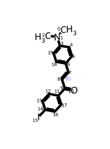 CN(C)c1ccc(/C=C/C(=O)c2ccc(I)cc2)cc1